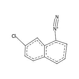 N#[N+]c1cccc2ccc(Cl)cc12